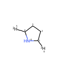 [2H]C1CCC([2H])N1